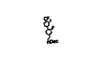 CCCCCCCCCCCCc1ccc(-c2ccc(C(F)(F)F)cc2)c(F)c1